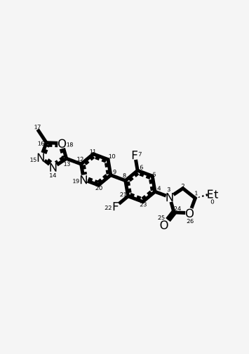 CC[C@H]1CN(c2cc(F)c(-c3ccc(-c4nnc(C)o4)nc3)c(F)c2)C(=O)O1